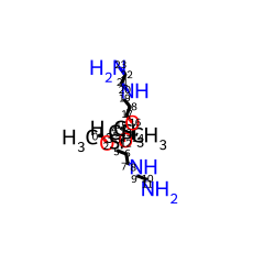 CCO[Si](C)(CCCNCCN)O[Si](C)(C)OCCCNCCN